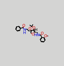 COc1ccccc1C(=O)NC[C@H]1OC[C@]2(CCNC(=O)c3ccccc3)OC(C)(C)O[C@H]12